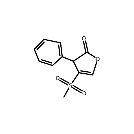 CS(=O)(=O)C1=COC(=O)C1c1ccccc1